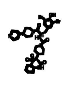 O=C(N[C@H](Cc1cc(Br)c(O)c(Br)c1)C(=O)N1CCN(c2ccncc2)CC1)N1CCC(N2C(=O)Nc3ccccc3S2(=O)=O)CC1